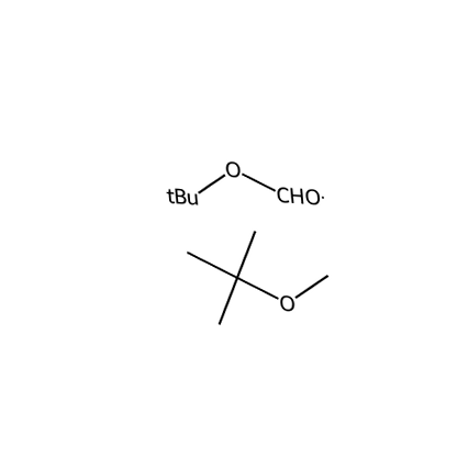 CC(C)(C)O[C]=O.COC(C)(C)C